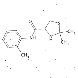 Cc1ccccc1NC(=O)[C@@H]1CSC(C)(C)N1